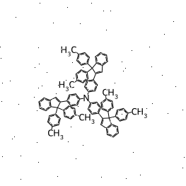 Cc1ccc(C2(c3ccc(C)cc3)C(c3ccc(N(c4ccc(C5=Cc6ccccc6C5(c5ccc(C)cc5)c5ccc(C)cc5)cc4)c4ccc(C5=Cc6ccccc6C5(c5ccc(C)cc5)c5ccc(C)cc5)cc4)cc3)=Cc3ccccc32)cc1